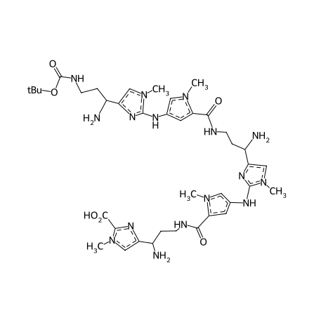 Cn1cc(Nc2nc(C(N)CCNC(=O)OC(C)(C)C)cn2C)cc1C(=O)NCCC(N)c1cn(C)c(Nc2cc(C(=O)NCCC(N)c3cn(C)c(C(=O)O)n3)n(C)c2)n1